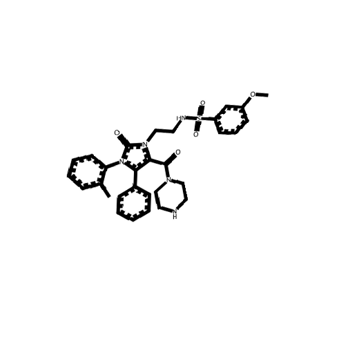 COc1cccc(S(=O)(=O)NCCn2c(C(=O)N3CCNCC3)c(-c3ccccc3)n(-c3ccccc3C)c2=O)c1